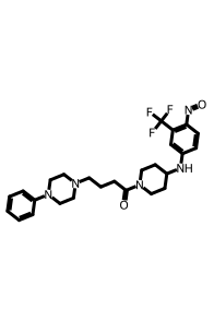 O=Nc1ccc(NC2CCN(C(=O)CCCN3CCN(c4ccccc4)CC3)CC2)cc1C(F)(F)F